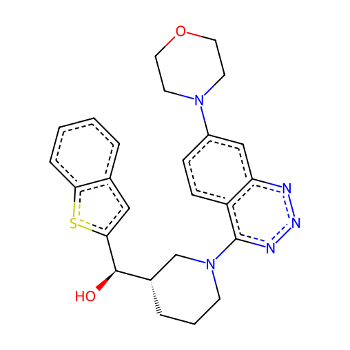 O[C@@H](c1cc2ccccc2s1)[C@H]1CCCN(c2nnnc3cc(N4CCOCC4)ccc23)C1